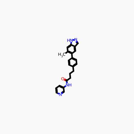 Cc1cc2[nH]ncc2cc1-c1ccc(CCCC(=O)Nc2cccnc2)cc1